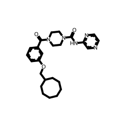 O=C(Nc1cnccn1)N1CCN(C(=O)c2cccc(OCC3CCCCCCC3)c2)CC1